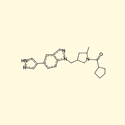 CC1CC(Cn2ncc3cc(-c4cn[nH]c4)ccc32)CN1C(=O)C1CCCC1